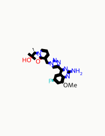 COc1cc(F)cc2c(-c3cn(Cc4cccn([C@@H](C)C(C)(C)O)c4=O)nn3)nc(N)nc12